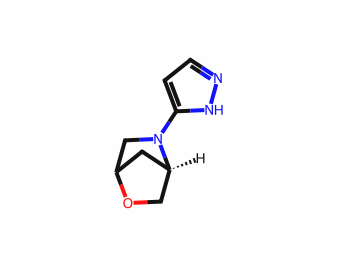 c1cc(N2CC3C[C@@H]2CO3)[nH]n1